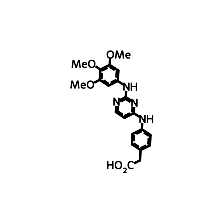 COc1cc(Nc2nccc(Nc3ccc(CC(=O)O)cc3)n2)cc(OC)c1OC